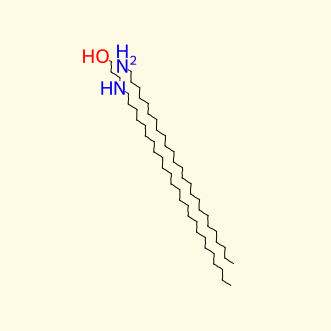 CCCCCCCCCCCCCCCCCCCCCCCCCN.CCCCCCCCCCCCCCCCCCCCCCCCCNCCCO